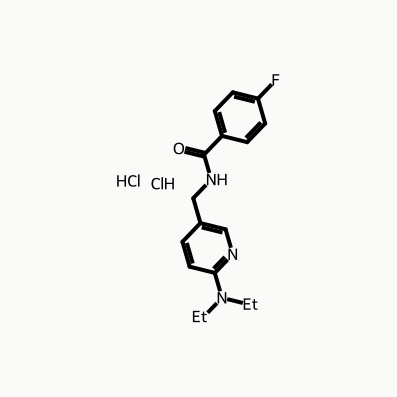 CCN(CC)c1ccc(CNC(=O)c2ccc(F)cc2)cn1.Cl.Cl